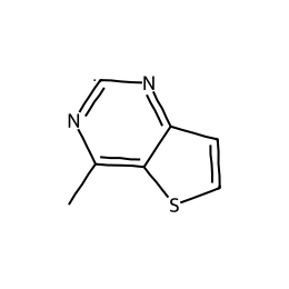 Cc1n[c]nc2ccsc12